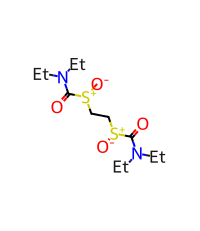 CCN(CC)C(=O)[S+]([O-])CC[S@@+]([O-])C(=O)N(CC)CC